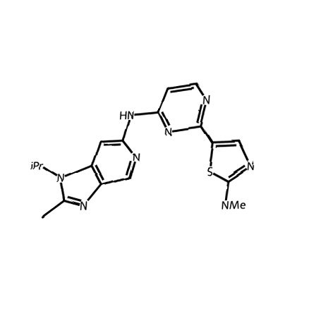 CNc1ncc(-c2nccc(Nc3cc4c(cn3)nc(C)n4C(C)C)n2)s1